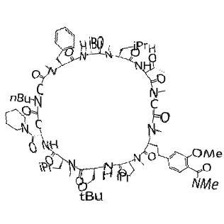 CCCCN1CC(=O)N(C)[C@@H](Cc2ccccc2)C(=O)N[C@@H]([C@@H](C)CC)C(=O)N(C)[C@@H](CC(C)C)C(=O)N[C@@H]([C@@H](C)O)C(=O)N(C)CC(=O)N(C)[C@@H](CCc2ccc(C(=O)NC)c(OC)c2)C(=O)N(C)C(CC(C)C)C(=O)N[C@@H](COC(C)(C)C)C(=O)N(C)[C@@H](CC(C)C)C(=O)N[C@H](C(=O)N2CCCCC2)CC1=O